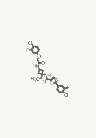 CCC1(NC(=O)c2cnc(-c3ccc(Cl)c(F)c3)o2)CC(NC(=O)COc2ccc(Cl)c(F)c2)C1